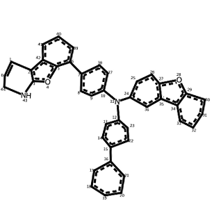 C1=Cc2c(oc3c(-c4ccc(N(c5ccc(-c6ccccc6)cc5)c5ccc6oc7ccccc7c6c5)cc4)cccc23)NC1